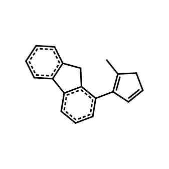 CC1=C(c2cccc3c2Cc2ccccc2-3)C=CC1